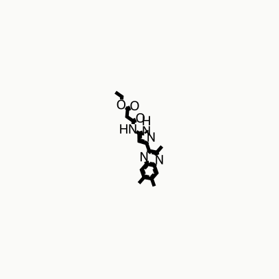 CCOC(=O)CC(=O)Nc1cc(-c2nc3cc(C)c(C)cc3nc2C)n[nH]1